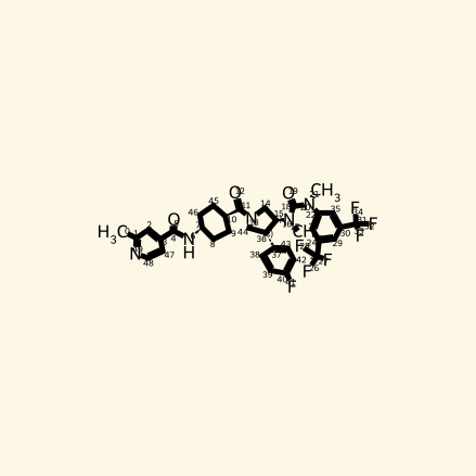 Cc1cc(C(=O)N[C@H]2CC[C@H](C(=O)N3C[C@@H](N(C)C(=O)N(C)c4cc(C(F)(F)F)cc(C(F)(F)F)c4)[C@H](c4ccc(F)cc4)C3)CC2)ccn1